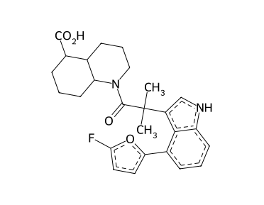 CC(C)(C(=O)N1CCCC2C(C(=O)O)CCCC21)c1c[nH]c2cccc(-c3ccc(F)o3)c12